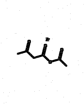 CC(=O)CC(=O)OC(C)=O.[Zr]